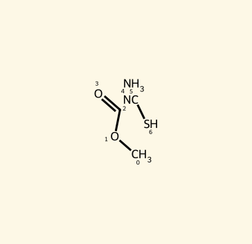 COC=O.N.N#CS